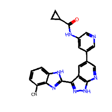 [C-]#[N+]c1cccc2[nH]c(-c3n[nH]c4ncc(-c5cncc(NC(=O)C6CC6)c5)cc34)nc12